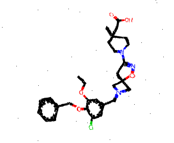 CCOc1cc(CN2CC3(CC(N4CCC(C)(C(=O)O)CC4)=NO3)C2)cc(Cl)c1OCc1ccccc1